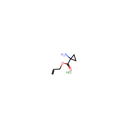 C=CCOC(=O)C1(N)CC1.Cl